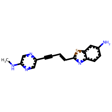 CNc1cnc(C#CC=Cc2nc3ccc(N)cc3s2)cn1